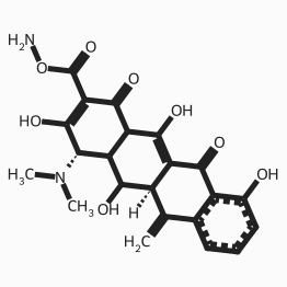 C=C1c2cccc(O)c2C(=O)C2=C(O)C3C(=O)C(C(=O)ON)=C(O)[C@@H](N(C)C)C3C(O)[C@H]12